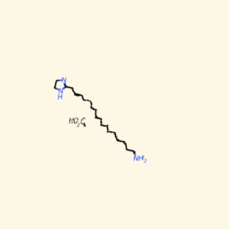 CC(=O)O.NCCCCCCCCCCCCCCC=CCC1=NCCN1